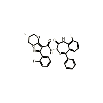 C[C@@H]1COc2c(C(=O)N[C@H]3N=C(c4ccccc4)c4cccc(F)c4NC3=O)c(-c3ccccc3F)nn2C1